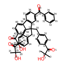 CC(C)(O)C(=O)c1ccc(CC2(Cc3ccc(C(=O)C(C)(C)O)cc3)c3cc(C(=O)c4ccccc4)ccc3-c3ccc(C(=O)C(C)(C)O)cc32)cc1